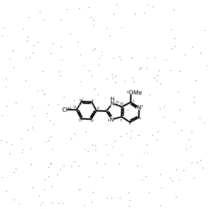 COc1nccc2nc(-c3ccc(Cl)cc3)[nH]c12